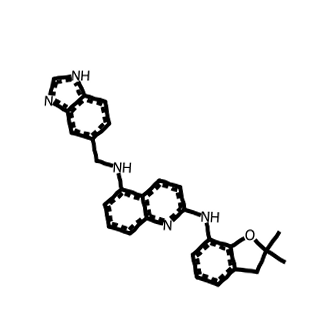 CC1(C)Cc2cccc(Nc3ccc4c(NCc5ccc6[nH]cnc6c5)cccc4n3)c2O1